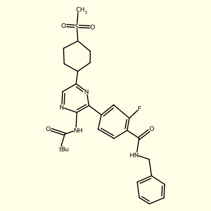 CC(C)(C)C(=O)Nc1ncc(C2CCC(S(C)(=O)=O)CC2)nc1-c1ccc(C(=O)NCc2ccccc2)c(F)c1